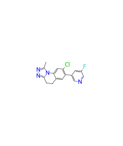 Cc1nnc2n1-c1cc(Cl)c(-c3cncc(F)c3)cc1CC2